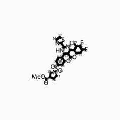 COC(=O)C1=C(C2CCC(S(=O)(=O)N3CC[C@@H](C(=O)OC)C3)CC2)NC(c2nccs2)=NC1c1ccc(F)c(F)c1Cl